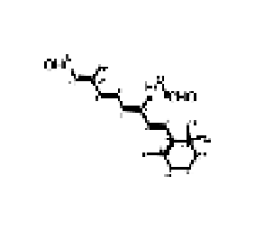 CC1=C(/C=C/C(C)=C/C=C/C(C)=C/C=O)C(C)(C)CCC1.O=CO